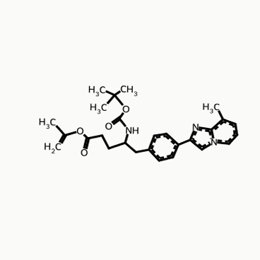 C=C(C)OC(=O)CCC(Cc1ccc(-c2cn3cccc(C)c3n2)cc1)NC(=O)OC(C)(C)C